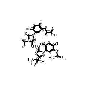 CC(C)Oc1cc(-n2nc(C(C)(C)C)oc2=O)c(Cl)cc1Cl.Cc1nn(-c2cc(CC(Cl)C(=O)O)c(Cl)cc2F)c(=O)n1C(F)F